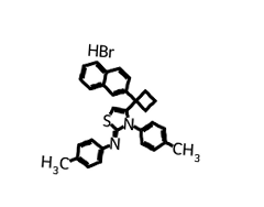 Br.Cc1ccc(/N=c2\scc(C3(c4ccc5ccccc5c4)CCC3)n2-c2ccc(C)cc2)cc1